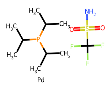 CC(C)P(C(C)C)C(C)C.NS(=O)(=O)C(F)(F)F.[Pd]